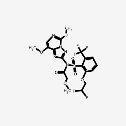 COCC(=O)N(c1nc2c(OC)cnc(OC)n2n1)S(=O)(=O)c1c(OCC(F)F)cccc1C(F)(F)F